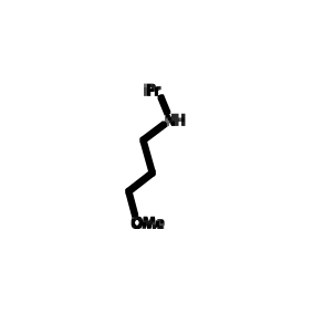 COCCCNC(C)C